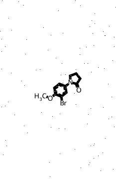 COc1ccc(N2CCCC2=O)cc1Br